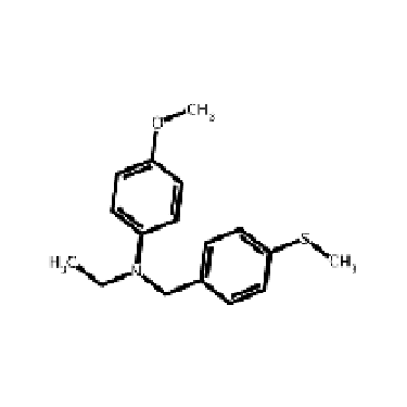 CCN(Cc1ccc(SC)cc1)c1ccc(OC)cc1